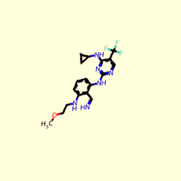 COCCNc1cccc(Nc2ncc(C(F)(F)F)c(NC3CC3)n2)c1C=N